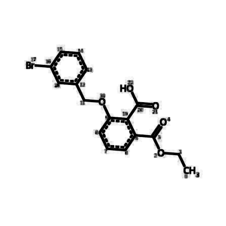 CCOC(=O)c1cccc(OCc2cccc(Br)c2)c1C(=O)O